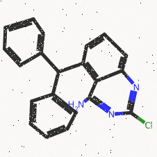 Nc1nc(Cl)nc2cccc(C(c3ccccc3)c3ccccc3)c12